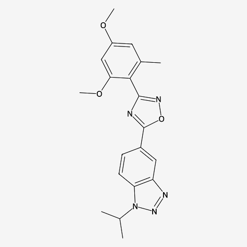 COc1cc(C)c(-c2noc(-c3ccc4c(c3)nnn4C(C)C)n2)c(OC)c1